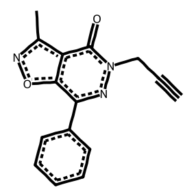 C#CCn1nc(-c2ccccc2)c2onc(C)c2c1=O